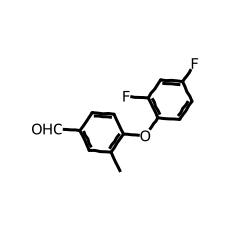 Cc1cc(C=O)ccc1Oc1ccc(F)cc1F